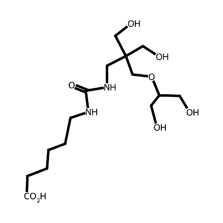 O=C(O)CCCCCNC(=O)NCC(CO)(CO)COC(CO)CO